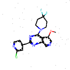 COc1cncc2nc(-c3ccnc(Cl)c3)nc(N3CCC(F)(F)CC3)c12